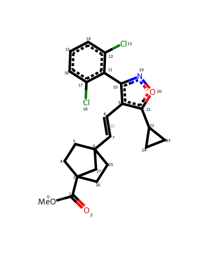 COC(=O)C12CCC(/C=C/c3c(-c4c(Cl)cccc4Cl)noc3C3CC3)(CC1)C2